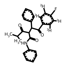 [2H]c1c([2H])c(C(=O)C(c2ccccc2)C(C(=O)Nc2ccccc2)C(=O)C(C)C)c([2H])c([2H])c1F